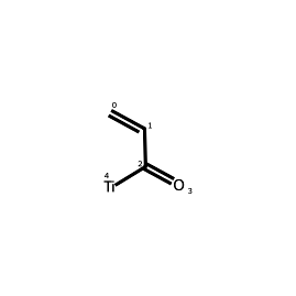 C=C[C](=O)[Ti]